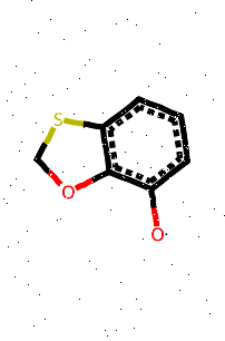 [O]c1cccc2c1OCS2